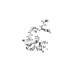 COc1c(C)c(C)c(OC)c(C(O)/C=C(\C)CCCC(C)CCCC(C)CCCC(C)C)c1C